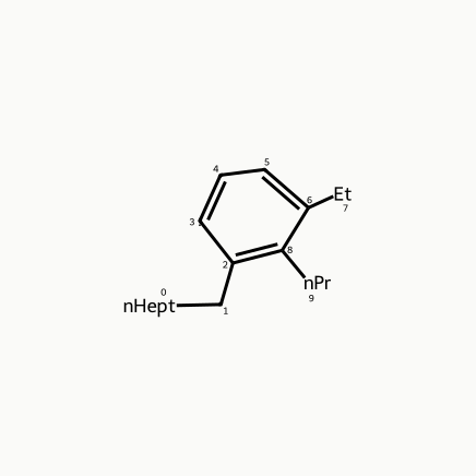 CCCCCCCCc1[c]ccc(CC)c1CCC